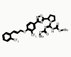 CC(C)(C)OC(=O)N=C(NC(=O)OC(C)(C)C)N1CCCC1c1nc(-c2ccc(OC/C=C/c3ccccc3C(F)(F)F)c(C(F)(F)F)c2)no1